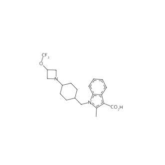 Cc1c(C(=O)O)c2ccccc2n1CC1CCC(N2CC(OC(F)(F)F)C2)CC1